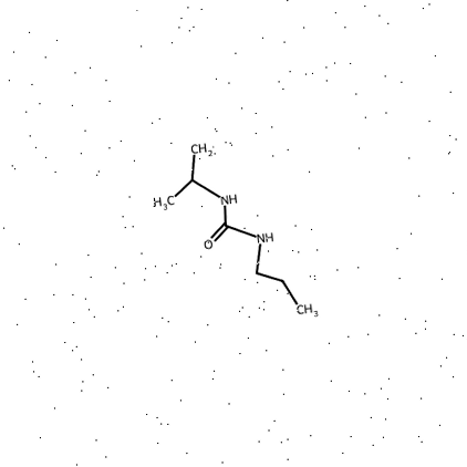 [CH2]C(C)NC(=O)NCCC